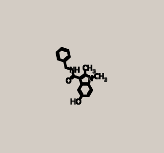 Cc1c(C(=O)NCc2ccccc2)c2cc(O)ccc2n1C